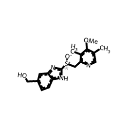 COc1c(C)cnc(C[S@+]([O-])c2nc3cc(CO)ccc3[nH]2)c1C